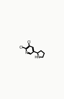 Clc1cc(C2CCCN2)cnc1Cl